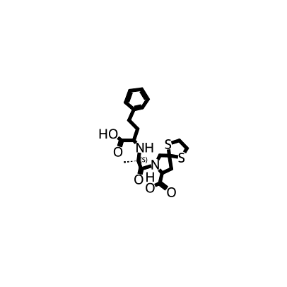 C[C@H](NC(CCc1ccccc1)C(=O)O)C(=O)N1CC2(CC1C(=O)O)SCCS2